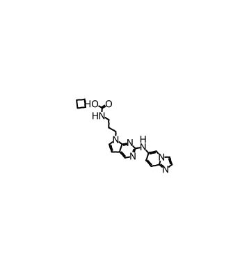 C1CCC1.O=C(O)NCCCn1ccc2cnc(Nc3ccc4nccn4c3)nc21